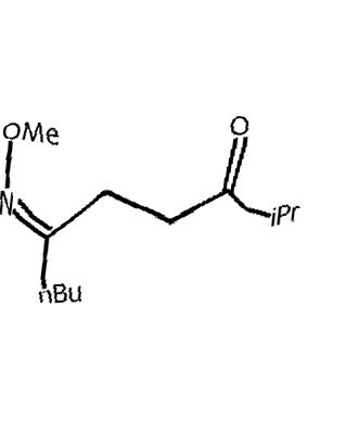 CCCC/C(CCC(=O)C(C)C)=N/OC